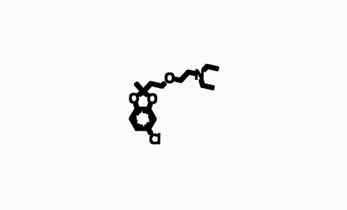 CCN(CC)CCOCCC1(C)Oc2ccc(Cl)cc2O1